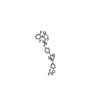 O=C1CS/C(=N\N=C\c2ccc(-c3ncn(-c4ccc(OC(F)(F)F)cc4)n3)cc2)N1c1c(F)cccc1F